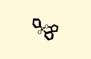 O=P(OC1CCCC1)(c1ccccc1)c1ccccc1